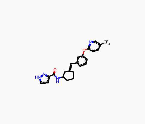 O=C(NC1CCCC(=Cc2cccc(Oc3ccc(C(F)(F)F)cn3)c2)C1)c1cc[nH]n1